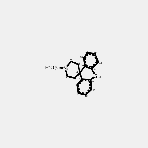 CCOC(=O)N1CCC2(CC1)c1ccccc1Sc1ccccc12